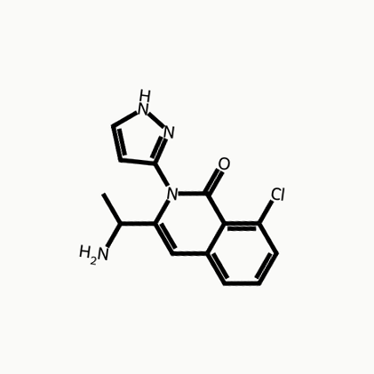 CC(N)c1cc2cccc(Cl)c2c(=O)n1-c1cc[nH]n1